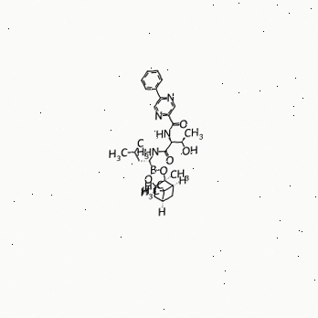 CC(C)C[C@H](NC(=O)[C@@H](NC(=O)c1cnc(-c2ccccc2)cn1)[C@@H](C)O)B1O[C@@H]2C[C@@H]3C[C@@H](C3(C)C)[C@]2(C)O1